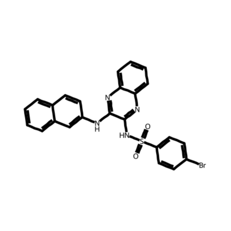 O=S(=O)(Nc1nc2ccccc2nc1Nc1ccc2ccccc2c1)c1ccc(Br)cc1